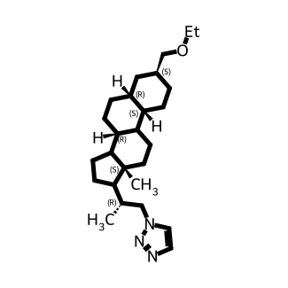 CCOC[C@H]1CC[C@@H]2C3CC[C@@]4(C)C(CCC4[C@@H](C)Cn4ccnn4)[C@@H]3CC[C@@H]2C1